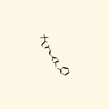 CC(C)(C)c1cnc(/C=C/c2cnc(Nc3ccccc3)s2)o1